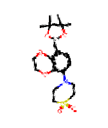 CC1(C)OB(c2ccc(N3CCS(=O)(=O)CC3)c3c2OCCO3)OC1(C)C